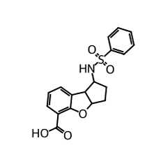 O=C(O)c1cccc2c1OC1CCC(NS(=O)(=O)c3ccccc3)C21